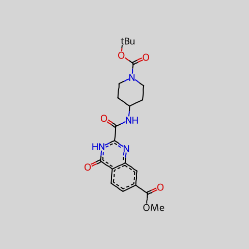 COC(=O)c1ccc2c(=O)[nH]c(C(=O)NC3CCN(C(=O)OC(C)(C)C)CC3)nc2c1